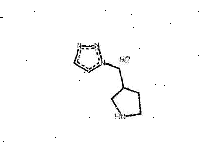 Cl.c1cn(CC2CCNC2)nn1